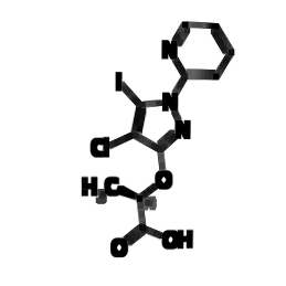 C[C@@H](Oc1nn(-c2ccccn2)c(I)c1Cl)C(=O)O